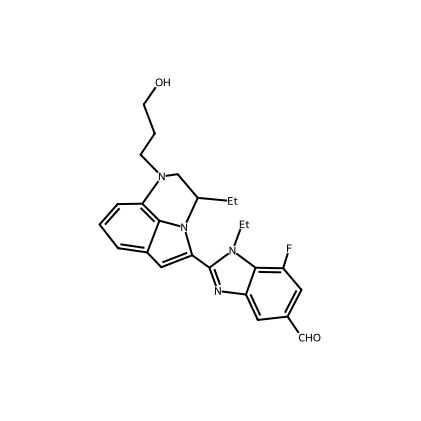 CCC1CN(CCCO)c2cccc3cc(-c4nc5cc(C=O)cc(F)c5n4CC)n1c23